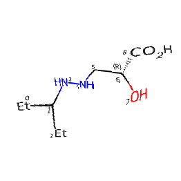 CCC(CC)NNC[C@@H](O)C(=O)O